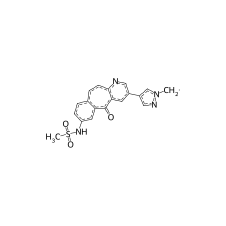 [CH2]n1cc(-c2cnc3ccc4ccc(NS(C)(=O)=O)cc4c(=O)c3c2)cn1